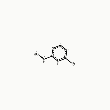 CC[C@H](C)Nc1nccc(C(C)C)n1